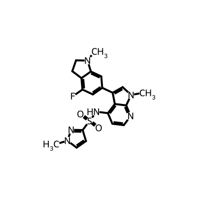 CN1CCc2c(F)cc(-c3cn(C)c4nccc(NS(=O)(=O)c5ccn(C)n5)c34)cc21